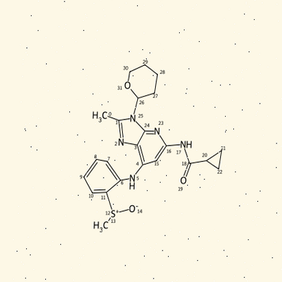 Cc1nc2c(Nc3ccccc3[S+](C)[O-])cc(NC(=O)C3CC3)nc2n1C1CCCCO1